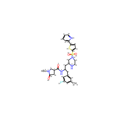 CCCCN1CC(C(=O)NC(Cc2cc(C)cc(F)c2)C[C@H]2CN(S(=O)(=O)c3ccc(-c4ccccn4)s3)CCN2)CC1=O